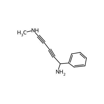 CNC#CC#CC(N)c1ccccc1